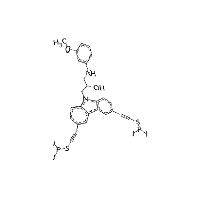 COc1cccc(NCC(O)Cn2c3ccc(C#CSP(I)I)cc3c3cc(C#CSP(I)I)ccc32)c1